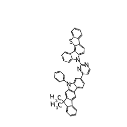 CC1(C)c2ccccc2-c2cc3c4ccc(-c5ccnc(-n6c7ccccc7c7c8sc9ccccc9c8ccc76)n5)cc4n(-c4ccccc4)c3cc21